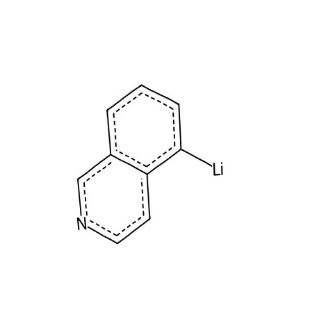 [Li][c]1cccc2cnccc12